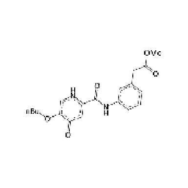 CCCCOc1c[nH]c(C(=O)Nc2cccc(CC(=O)OC)c2)cc1=O